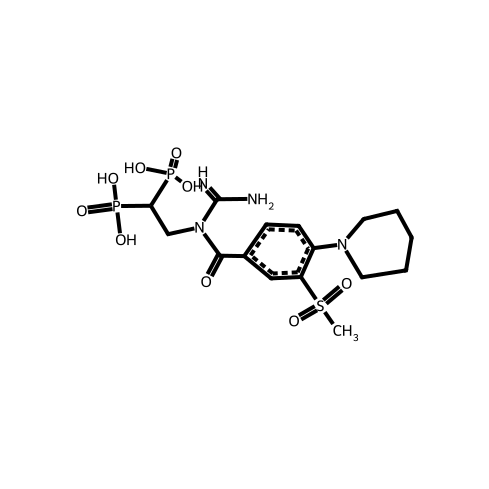 CS(=O)(=O)c1cc(C(=O)N(CC(P(=O)(O)O)P(=O)(O)O)C(=N)N)ccc1N1CCCCC1